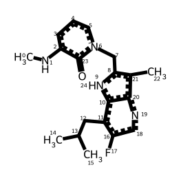 CNc1cccn(Cc2[nH]c3c(CC(C)C)c(F)cnc3c2C)c1=O